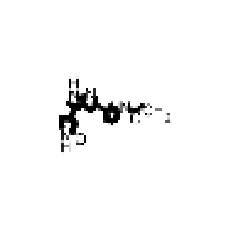 C=CC(=O)Nc1cccc(-c2cnc3[nH]cc(-c4cc[nH]c(=O)c4)c3c2)c1